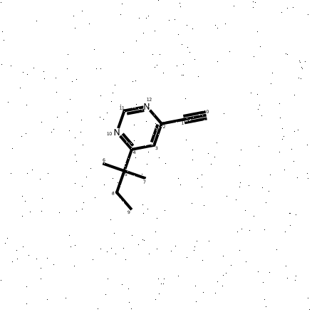 C#Cc1cc(C(C)(C)CC)ncn1